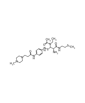 CCN(C(C)=O)C(SNc1ccc(NC(=O)CCN2CCN(C)CC2)cc1)[C@H](N)C(=O)NCCSC